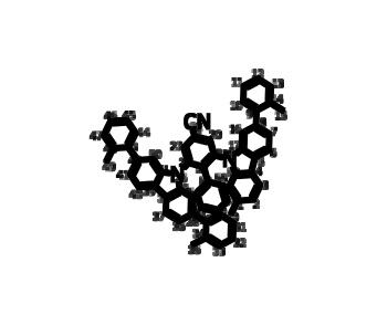 Cc1ccc2c3ccc(-c4ccccc4C)cc3n(-c3cc(C#N)cc(-n4c5cc(-c6ccccc6C)ccc5c5ccc(-c6ccccc6C)cc54)c3-c3ccccc3)c2c1